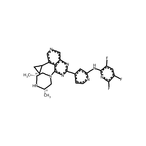 C[C@@H]1CN(c2nc(-c3ccnc(Nc4nc(F)c(F)cc4F)c3)nc3cncc(C4CC4)c23)C[C@H](C)N1